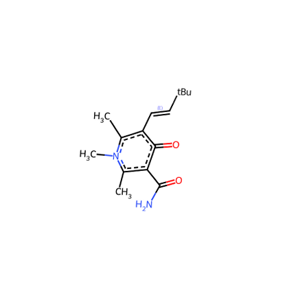 Cc1c(/C=C/C(C)(C)C)c(=O)c(C(N)=O)c(C)n1C